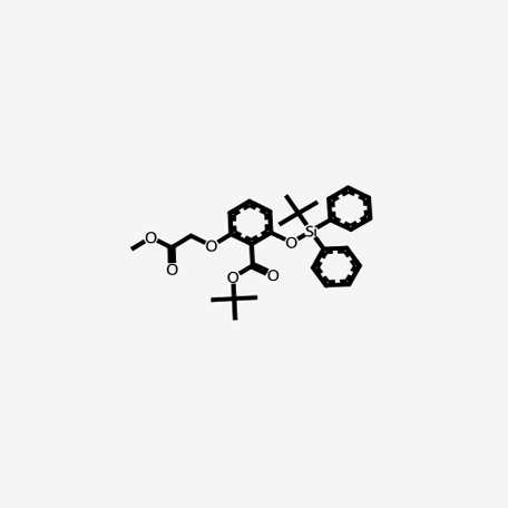 COC(=O)COc1cccc(O[Si](c2ccccc2)(c2ccccc2)C(C)(C)C)c1C(=O)OC(C)(C)C